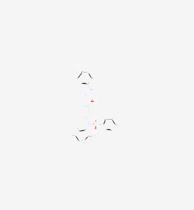 COc1ccc(CNC(=O)CCCN(c2cccc(C)c2C)S(=O)(=O)c2ccc(C)cc2)cc1